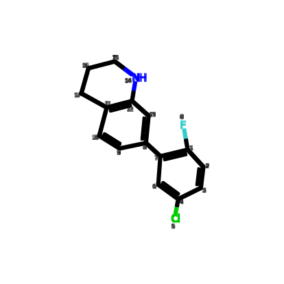 Fc1ccc(Cl)cc1-c1ccc2c(c1)NCCC2